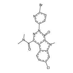 CN(C)C(=O)c1nn(-c2ccc(Br)nc2)c(=O)c2c1c1ccc(Cl)cc1n2C